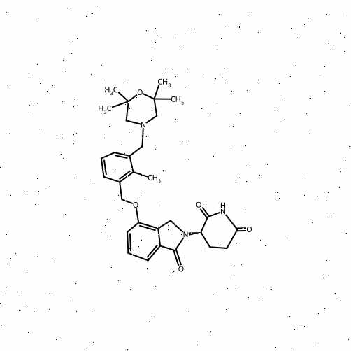 Cc1c(COc2cccc3c2CN([C@@H]2CCC(=O)NC2=O)C3=O)cccc1CN1CC(C)(C)OC(C)(C)C1